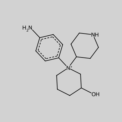 Nc1ccc([N+]2(C3CCNCC3)CCCC(O)C2)cc1